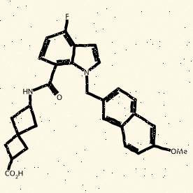 COc1ccc2cc(Cn3ccc4c(F)ccc(C(=O)NC5CC6(C5)CC(C(=O)O)C6)c43)ccc2c1